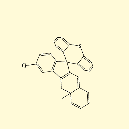 CC12C=CC=CC1=CC1=C(C2)c2cc(Cl)ccc2C12c1ccccc1Sc1ccccc12